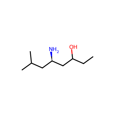 CCC(O)C[C@H](N)CC(C)C